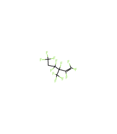 FC(F)=C(F)C(F)(C(F)(F)F)C(F)(F)CC(F)(F)F